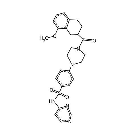 COc1cccc2c1CC(C(=O)N1CCN(c3ccc(S(=O)(=O)Nc4ccncn4)cc3)CC1)CC2